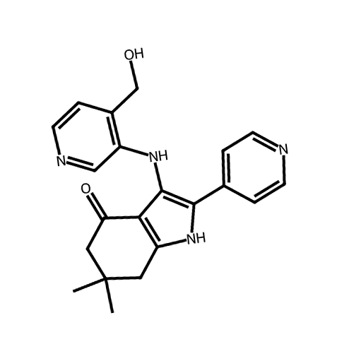 CC1(C)CC(=O)c2c([nH]c(-c3ccncc3)c2Nc2cnccc2CO)C1